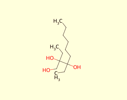 CCCCCCC(O)(CC)C(O)(CC)CO